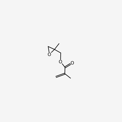 C=C(C)C(=O)OCC1(C)CO1